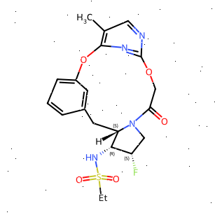 CCS(=O)(=O)N[C@H]1[C@@H](F)CN2C(=O)COc3ncc(C)c(n3)Oc3cccc(c3)C[C@@H]12